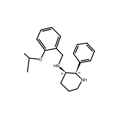 CC(C)Oc1ccccc1CN[C@@H]1CCCN[C@@H]1c1ccccc1